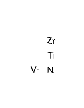 [N].[Ti].[V].[Zr]